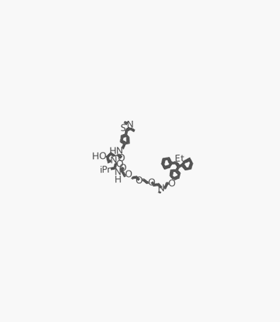 CC/C(=C(\c1ccccc1)c1ccc(OCCN(C)CCOCCOCCOCC(=O)NC(C(=O)N2C[C@H](O)C[C@H]2C(=O)NCc2ccc(-c3scnc3C)cc2)C(C)C)cc1)c1ccccc1